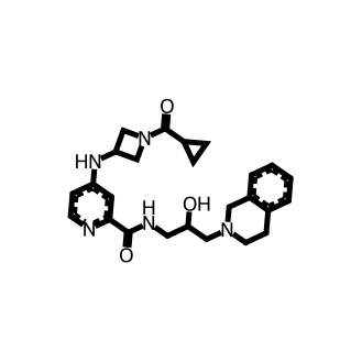 O=C(NCC(O)CN1CCc2ccccc2C1)c1cc(NC2CN(C(=O)C3CC3)C2)ccn1